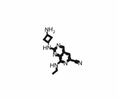 CCNc1nc(C#N)cc2cnc(N[C@H]3C[C@H](N)C3)nc12